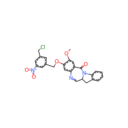 COc1cc2c(cc1OCc1cc(CCl)cc([N+](=O)[O-])c1)N=CC1Cc3ccccc3N1C2=O